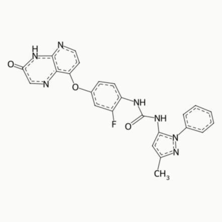 Cc1cc(NC(=O)Nc2ccc(Oc3ccnc4[nH]c(=O)cnc34)cc2F)n(-c2ccccc2)n1